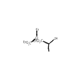 CCOC(=O)C(C)O.CCOC(=O)OCC